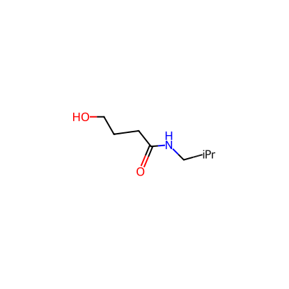 CC(C)CNC(=O)CCCO